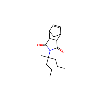 CCCC(C)(CCC)N1C(=O)C2C3C=CC(C3)C2C1=O